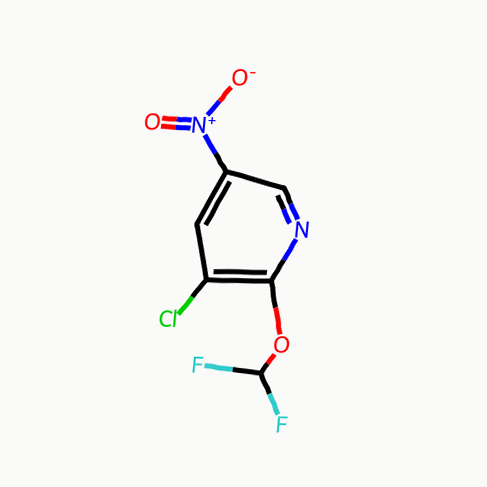 O=[N+]([O-])c1cnc(OC(F)F)c(Cl)c1